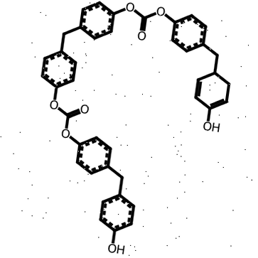 O=C(Oc1ccc(Cc2ccc(O)cc2)cc1)Oc1ccc(Cc2ccc(OC(=O)Oc3ccc(CC4C=CC(O)=CC4)cc3)cc2)cc1